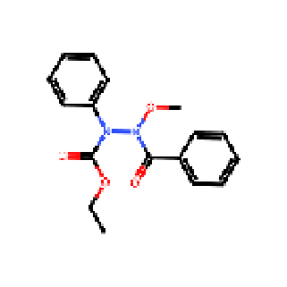 CCOC(=O)N(c1ccccc1)N(OC)C(=O)c1ccccc1